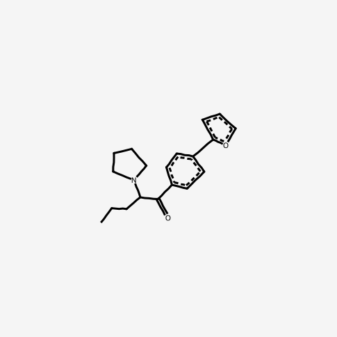 CCCC(C(=O)c1ccc(-c2ccco2)cc1)N1CCCC1